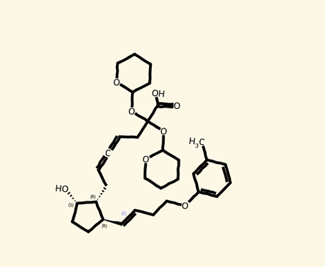 Cc1cccc(OCC/C=C/[C@H]2CC[C@H](O)[C@@H]2CC=C=CCC(OC2CCCCO2)(OC2CCCCO2)C(=O)O)c1